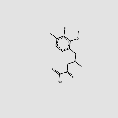 COc1c(CC(C)CC(=O)C(=O)O)ccc(C)c1F